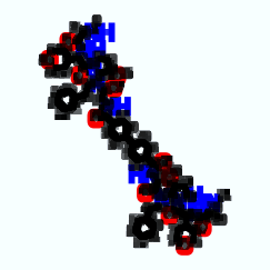 CN[C@@H](C)C(=O)N[C@H](C(=O)N1CC[C@H](OC)C1N(CCc1ccccc1)C(=O)CNC(=O)c1ccc(-c2ccc(C(=O)NCC(=O)N(CCc3ccccc3)C3[C@@H](OC)CCN3C(=O)[C@@H](NC(=O)[C@H](C)NC)C3CCOCC3)cc2)cc1)C1CCOCC1